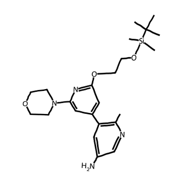 Cc1ncc(N)cc1-c1cc(OCCO[Si](C)(C)C(C)(C)C)nc(N2CCOCC2)c1